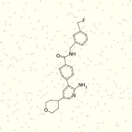 Nc1ncc(C2CCOCC2)cc1-c1ccc(C(=O)NCc2cccc(CF)c2)cc1